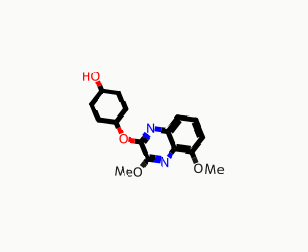 COc1nc2c(OC)cccc2nc1OC1CCC(O)CC1